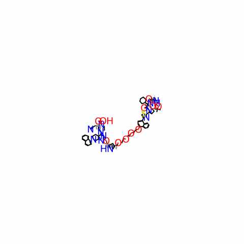 C[C@@H](C(=O)N[C@H](C(=O)N1CCCC1c1nc(-c2ccc(OCCOCCOCCOC[C@H]3CN[C@H](COc4nc5c(c(N6CCN(C(=O)O)[C@@H](CC#N)C6)n4)CCN(c4cccc6ccccc46)C5)C3)c3ccccc23)cs1)C1CCCCC1)N(C)C(=O)OC(C)(C)C